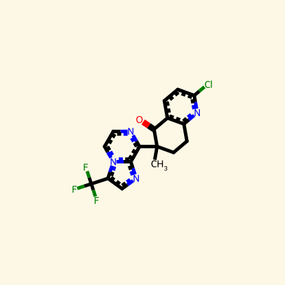 CC1(c2nccn3c(C(F)(F)F)cnc23)CCc2nc(Cl)ccc2C1=O